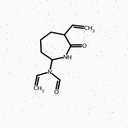 C=CC1CCCC(N(C=C)C=O)NC1=O